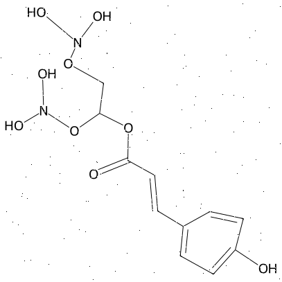 O=C(/C=C/c1ccc(O)cc1)OC(CON(O)O)ON(O)O